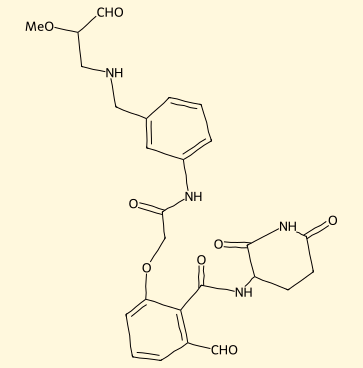 COC(C=O)CNCc1cccc(NC(=O)COc2cccc(C=O)c2C(=O)NC2CCC(=O)NC2=O)c1